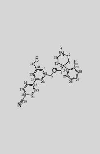 CN1CCC(COCc2cc(CF)cc(-c3ccc(C#N)cc3)c2)(c2ccccc2F)CC1